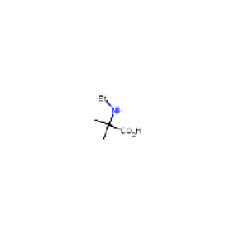 C[CH]NC(C)(C)C(=O)O